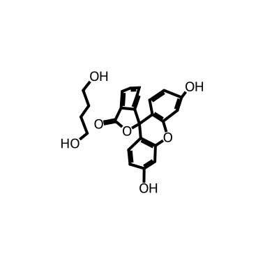 O=C1OC2(c3ccc(O)cc3Oc3cc(O)ccc32)c2ccccc21.OCCCCO